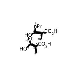 CC/C(O)=C(/C)C(=O)O.CCC/C(O)=C(/C)C(=O)O